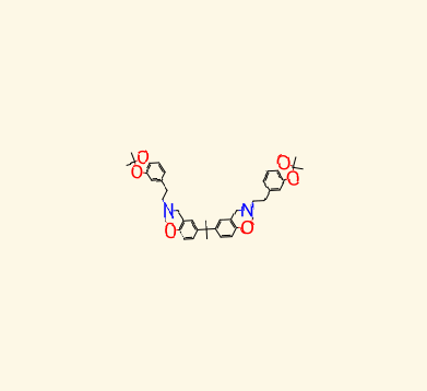 CC1(C)Oc2ccc(CCN3COc4ccc(C(C)(C)c5ccc6c(c5)CN(CCc5ccc7c(c5)OC(C)(C)O7)CO6)cc4C3)cc2O1